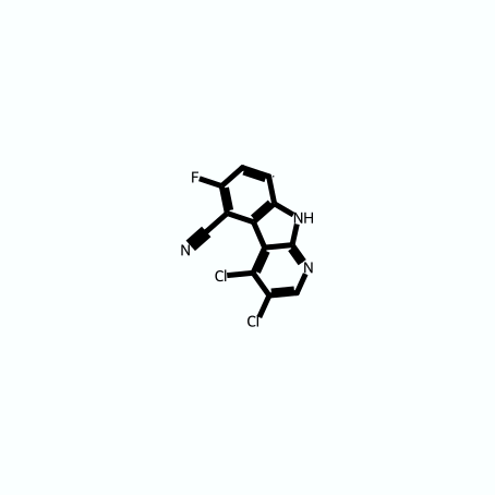 N#Cc1c(F)c[c]c2[nH]c3ncc(Cl)c(Cl)c3c12